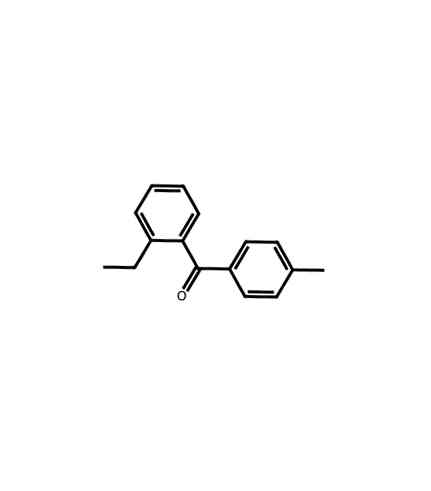 CCc1ccccc1C(=O)c1ccc(C)cc1